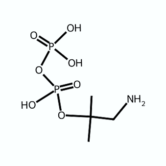 CC(C)(CN)OP(=O)(O)OP(=O)(O)O